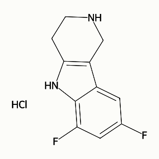 Cl.Fc1cc(F)c2[nH]c3c(c2c1)CNCC3